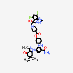 Cc1nn(-c2ccc(C(N)=O)c(NC3CCC(OC(=O)C4CCN(C[C@@](O)(Cn5cncn5)c5ccc(F)cc5F)CC4)CC3)c2)c2c1C(=O)CC(C)(C)C2